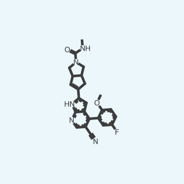 CNC(=O)N1CC2C=C(c3cc4c(-c5cc(F)ccc5OC)c(C#N)cnc4[nH]3)CC2C1